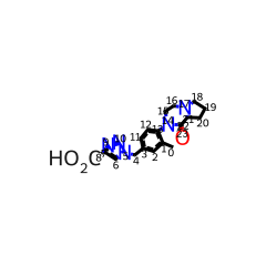 Cc1cc(Cn2cc(C(=O)O)nn2)ccc1N1CCN2CCCC2C1=O